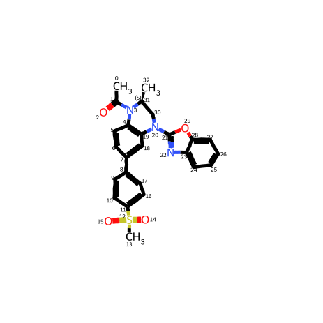 CC(=O)N1c2ccc(-c3ccc(S(C)(=O)=O)cc3)cc2N(c2nc3ccccc3o2)C[C@@H]1C